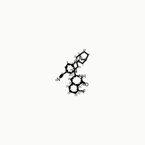 N#Cc1ccc(N2CC3CCC(C2)N3CCCc2cc3cccc(F)c3c(=O)[nH]2)nc1